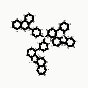 c1cc(-c2cccc3oc4c5ccccc5ccc4c23)cc(N(c2ccc(-c3ccccc3-n3c4ccccc4c4ccccc43)cc2)c2ccc(-c3cc4ccccc4c4ccccc34)cc2)c1